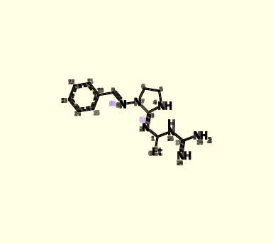 CCC(/N=C1\NCCN1/N=C/c1ccccc1)NC(=N)N